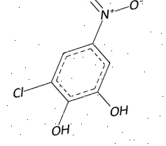 O=[N+]([O-])c1cc(O)c(O)c(Cl)c1